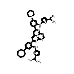 CC(C)c1ccc(Nc2cc(N3CCCCC3)ccc2C2=CC3=CC(c4ccc(C5CCCCCC5)cc4Nc4ccc(C(C)C)o4)=NC4=NC=NC(=N2)N34)o1